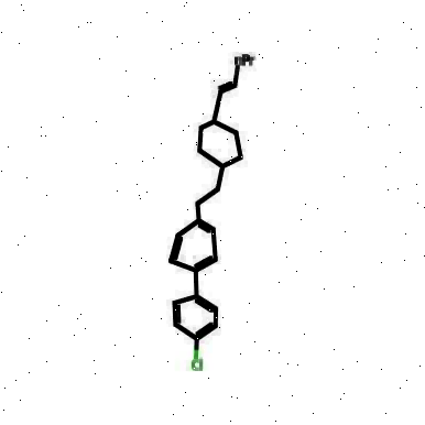 CCC/C=C/C1CCC(CCc2ccc(-c3ccc(Cl)cc3)cc2)CC1